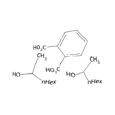 CCCCCCC(C)O.CCCCCCC(C)O.O=C(O)c1ccccc1C(=O)O